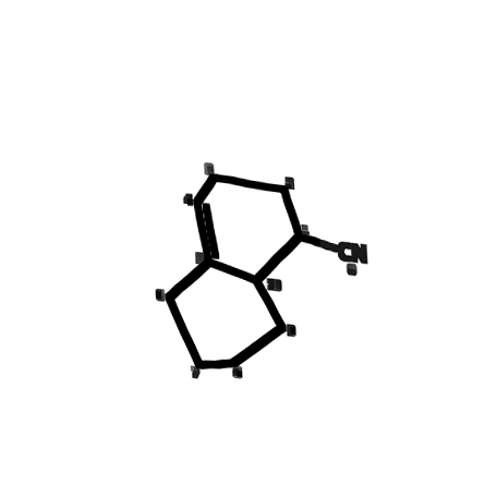 N#CC1CCC=C2CCCCC21